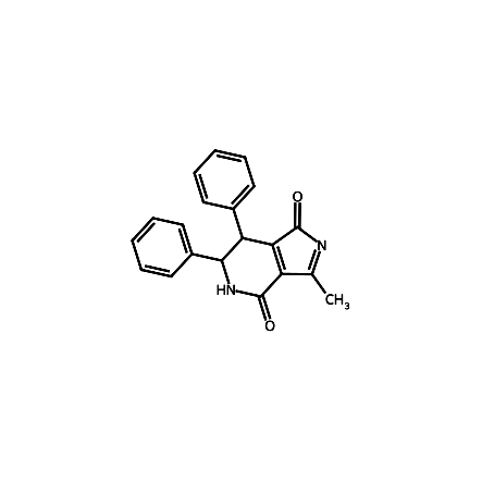 CC1=NC(=O)C2=C1C(=O)NC(c1ccccc1)C2c1ccccc1